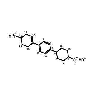 CCCCCC1CCC(c2ccc(C3=CCC(CCC)CC3)cc2)CC1